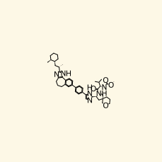 COC(=O)N[C@H](C(=O)N1C[C@]2(CCCOC2)C[C@H]1c1ncc(-c2ccc(-c3ccc4c(c3)CCCc3nc([C@@H](C)C[C@@H]5CCCC[C@@H]5C)[nH]c3-4)cc2)[nH]1)C(C)C